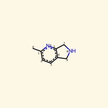 Cc1[c]cc2c(n1)CNC2